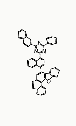 c1ccc(-c2nc(-c3ccc4ccccc4c3)nc(-c3ccc(-c4cc5ccc6ccccc6c5c5oc6ccccc6c45)c4ccccc34)n2)cc1